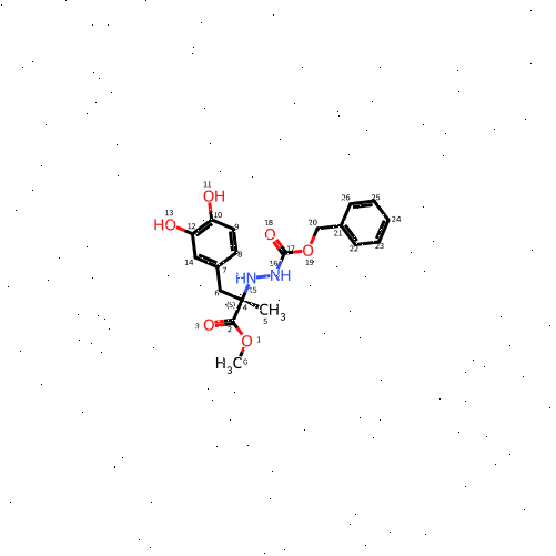 COC(=O)[C@](C)(Cc1ccc(O)c(O)c1)NNC(=O)OCc1ccccc1